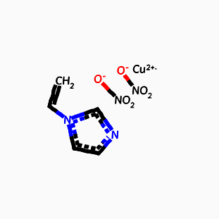 C=Cn1ccnc1.O=[N+]([O-])[O-].O=[N+]([O-])[O-].[Cu+2]